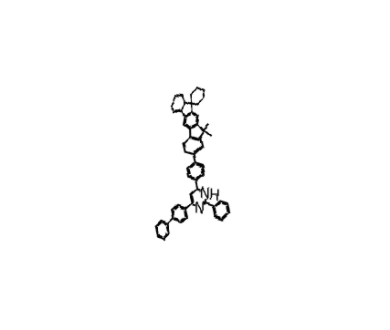 CC1(C)C2=C(CCC(c3ccc(C4C=C(c5ccc(-c6ccccc6)cc5)N=C(c5ccccc5)N4)cc3)=C2)c2cc3c(cc21)C1(CCCCC1)C1CCCC=C31